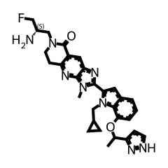 CC(Oc1cccc2cc(-c3nc4cc5c(nc4n3C)CCN(C[C@H](N)CF)C5=O)n(CC3CC3)c12)c1cc[nH]n1